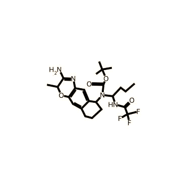 CCCC(NC(=O)C(F)(F)F)N(C(=O)OC(C)(C)C)C1CCCc2cc3c(cc21)N=C(N)C(C)O3